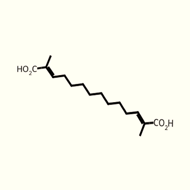 C/C(=C\CCCCCCCC/C=C(\C)C(=O)O)C(=O)O